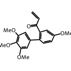 C=CC(=O)c1cc(OC)ccc1-c1cc(OC)c(OC)c(OC)c1